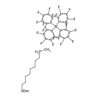 CCCCCCCCCCCCCCCCCC[PH2+]C.Fc1c(F)c(F)c([B-](c2c(F)c(F)c(F)c(F)c2F)(c2c(F)c(F)c(F)c(F)c2F)c2c(F)c(F)c(F)c(F)c2F)c(F)c1F